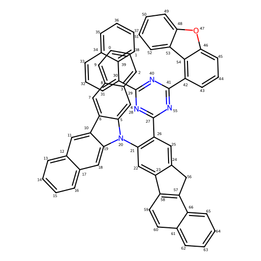 c1ccc2cc3c(cc2c1)c1cc2ccccc2cc1n3-c1cc2c(cc1-c1nc(-c3cccc4ccccc34)nc(-c3cccc4oc5ccccc5c34)n1)Cc1c-2ccc2ccccc12